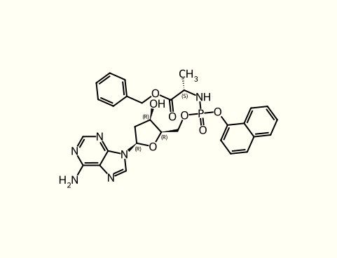 C[C@H](NP(=O)(OC[C@H]1O[C@@H](n2cnc3c(N)ncnc32)C[C@H]1O)Oc1cccc2ccccc12)C(=O)OCc1ccccc1